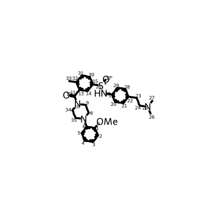 COc1ccccc1N1CCN(C(=O)c2cc([S+]([O-])Nc3ccc(CCN(C)C)cc3)ccc2C)CC1